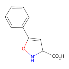 O=C(O)C1C=C(c2ccccc2)ON1